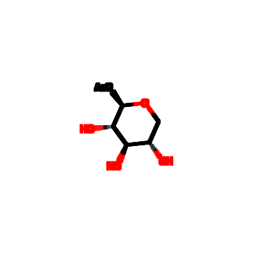 CC(=O)O[C@H]1OC[C@H](O)[C@@H](O)[C@@H]1O